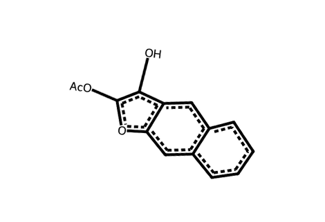 CC(=O)Oc1oc2cc3ccccc3cc2c1O